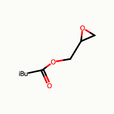 CCC(C)C(=O)OCC1CO1